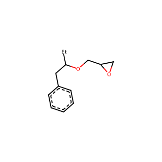 CCC(Cc1ccccc1)OCC1CO1